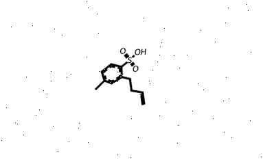 C=CCCc1cc(C)ccc1S(=O)(=O)O